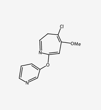 COC1=C(Cl)CC=NC(Oc2cccnc2)=C1